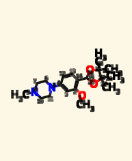 COc1cc(N2CCN(C)CC2)ccc1C1OC(C)(C)C(C)(C)O1